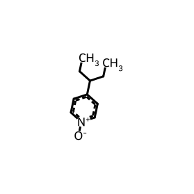 CCC(CC)c1cc[n+]([O-])cc1